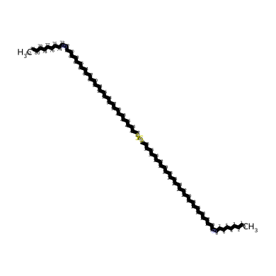 CCCCCCCC/C=C\CCCCCCCCCCCCCCCCCCCCCCCCCCCCCCSSCCCCCCCCCCCCCCCCCCCCCCCCCCCCCC/C=C\CCCCCCCCC